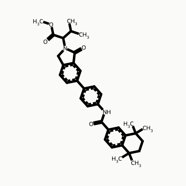 COC(=O)C(C(C)C)N1Cc2ccc(-c3ccc(NC(=O)c4ccc5c(c4)C(C)(C)CCC5(C)C)cc3)cc2C1=O